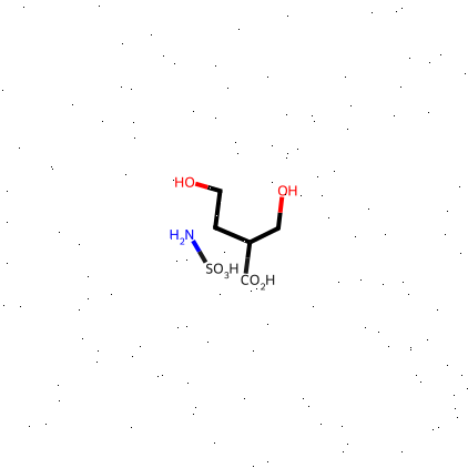 NS(=O)(=O)O.O=C(O)C(CO)CCO